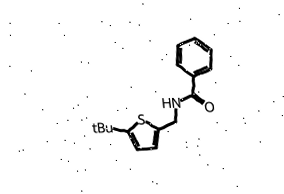 CC(C)(C)c1ccc(CNC(=O)c2ccccc2)s1